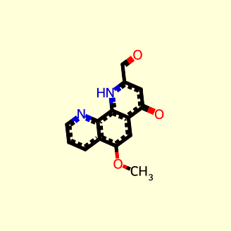 COc1cc2c(=O)cc(C=O)[nH]c2c2ncccc12